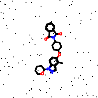 Cc1c(OC2CCC(N3C(=O)c4ccccc4C3=O)CC2)ccc2c1cnn2C1CCCCO1